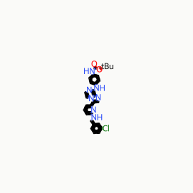 CC(C)(C)OC(=O)NC1CCC(Nc2nccn3c(-c4cccc(NCc5cccc(Cl)c5)n4)cnc23)CC1